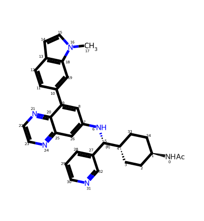 CC(=O)N[C@H]1CC[C@H]([C@@H](Nc2cc(-c3ccc4ccn(C)c4c3)c3nccnc3c2)c2cccnc2)CC1